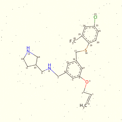 C=CCOc1cc(CNCC2CCNC2)cc(CSc2ccc(Cl)cc2C(F)(F)F)c1